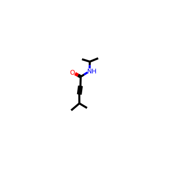 CC(C)C#CC(=O)NC(C)C